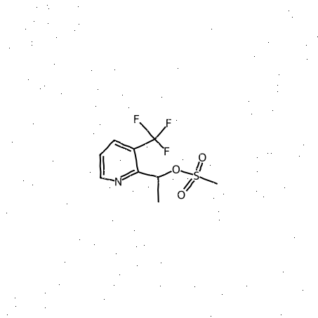 CC(OS(C)(=O)=O)c1ncccc1C(F)(F)F